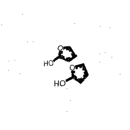 Oc1ccco1.Oc1ccco1